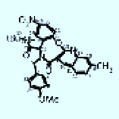 COc1ccc(CN2C(=O)c3cc4ccc(C)cc4nc3Oc3ccc([N+](=O)[O-])cc3C2C(=O)NC(C)(C)C)cc1